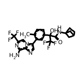 Cc1ccc(C(O)(C(=O)NC23CCC(C2)C3)C(F)(F)F)cc1-c1cnc2c(N)nc(C(F)(F)F)cn12